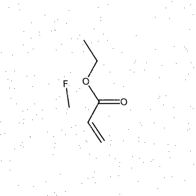 C=CC(=O)OCC.CF